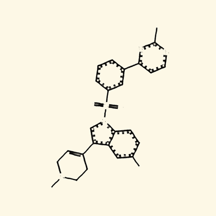 Cc1nccc(-c2cccc(S(=O)(=O)n3cc(C4=CCN(C)CC4)c4cc(C(F)(F)F)ccc43)c2)n1